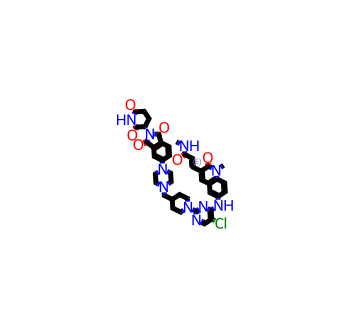 CNC(=O)/C=C/c1cc2cc(Nc3nc(N4CCC(CN5CCN(c6ccc7c(c6)C(=O)N(C6CCC(=O)NC6=O)C7=O)CC5)CC4)ncc3Cl)ccc2n(C)c1=O